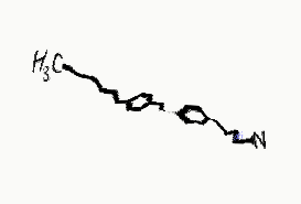 CCCCCCCc1ccc(CC[C@H]2CC[C@H](CC/C=C/C#N)CC2)cc1